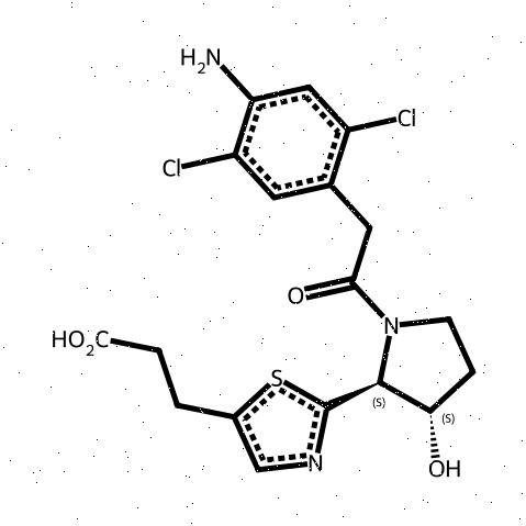 Nc1cc(Cl)c(CC(=O)N2CC[C@H](O)[C@H]2c2ncc(CCC(=O)O)s2)cc1Cl